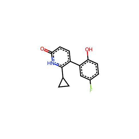 O=c1ccc(-c2cc(F)ccc2O)c(C2CC2)[nH]1